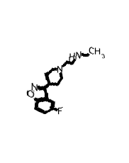 CCNCCN1CCC(c2noc3ccc(F)cc23)CC1